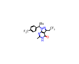 Cc1nc2c(c(CC(F)(F)F)nn2[C@@H](c2ccc(C(F)(F)F)cc2)C(C)(C)C)c(=O)[nH]1